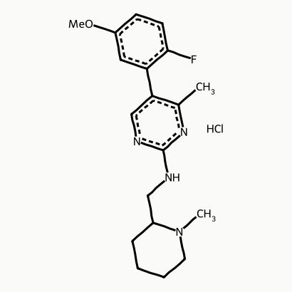 COc1ccc(F)c(-c2cnc(NCC3CCCCN3C)nc2C)c1.Cl